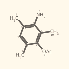 CC(=O)Oc1c(C)cc(C)c(N)c1C